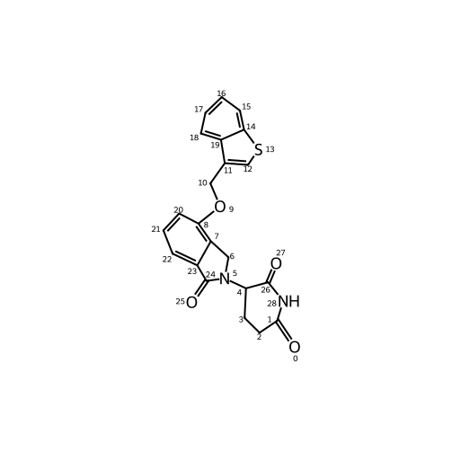 O=C1CCC(N2Cc3c(OCc4csc5ccccc45)cccc3C2=O)C(=O)N1